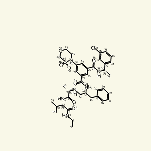 CCNC(=O)[C@@H](NC(=O)[C@H](C)NC[C@H](Cc1ccccc1)NC(=O)c1cc(C(=O)N[C@H](C)c2cccc(Cl)c2)cc(N2CCOCS2(=O)=O)c1)C(C)C